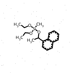 CCO[Si](C)(OCC)OC(C)c1cccc2ccccc12